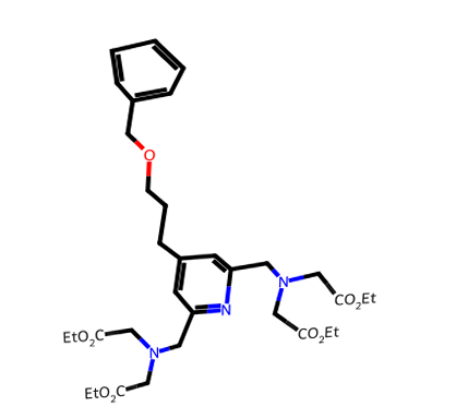 CCOC(=O)CN(CC(=O)OCC)Cc1cc(CCCOCc2ccccc2)cc(CN(CC(=O)OCC)CC(=O)OCC)n1